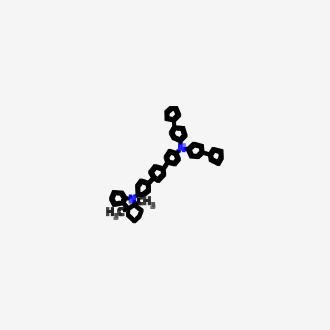 CC12CCCCC1(C)N(c1ccc(-c3ccc(-c4ccc(N(c5ccc(-c6ccccc6)cc5)c5ccc(-c6ccccc6)cc5)cc4)cc3)cc1)c1ccccc12